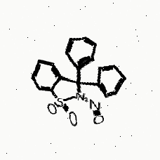 O=[14N]N1C(c2ccccc2)(c2ccccc2)c2ccccc2S1(=O)=O